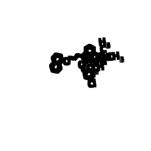 Cc1c(-c2cccc3c(CCCOc4cccc5ccccc45)c(OC(=O)O)[nH]c23)c(COc2cccc(Cl)c2)nn1C